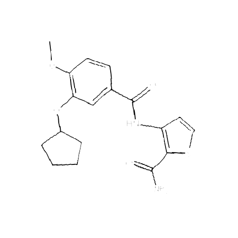 COc1ccc(C(=O)Nc2ccsc2C(N)=O)cc1OC1CCCC1